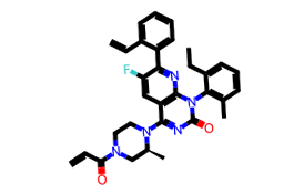 C=CC(=O)N1CCN(c2nc(=O)n(-c3c(C)cccc3CC)c3nc(-c4ccccc4C=C)c(F)cc23)[C@@H](C)C1